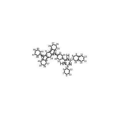 c1ccc(C2N=C(c3ccc4ccccc4c3)NC(c3ccc(-n4c5ccccc5c5cc6c(cc54)c4ccccc4n6-c4ccccc4)cc3)N2)cc1